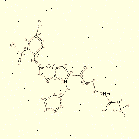 CC(C)(C)OC(=O)NCCNC(=O)c1cc2cc(Nc3ccc(Cl)cc3C(=O)O)ccc2n1Cc1ccccc1